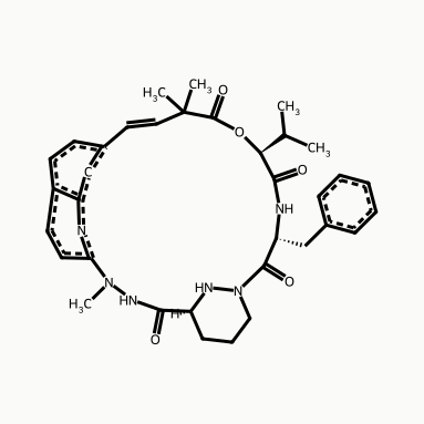 CC(C)[C@@H]1OC(=O)C(C)(C)/C=C/c2ccc3ccc(nc3c2)N(C)NC(=O)[C@@H]2CCCN(N2)C(=O)[C@@H](Cc2ccccc2)NC1=O